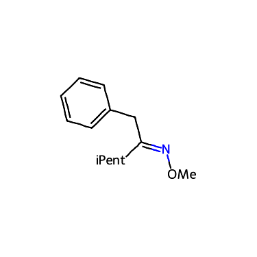 CCCC(C)/C(Cc1ccccc1)=N\OC